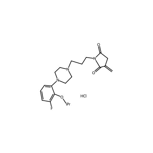 C=C1CC(=O)N(CCCN2CCN(c3cccc(F)c3OC(C)C)CC2)C1=O.Cl